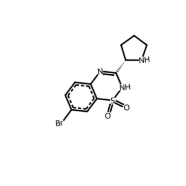 O=S1(=O)NC([C@@H]2CCCN2)=Nc2ccc(Br)cc21